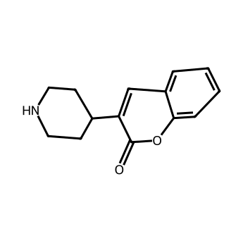 O=c1oc2ccccc2cc1C1CCNCC1